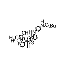 CC1CN(c2ncccc2C(=O)NS(=O)(=O)c2cccc(Nc3ccc(NCOC(C)(C)C)cc3)n2)C(C)(C)C1